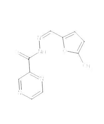 Cc1ccc(/C=N\NC(=O)c2cnccn2)o1